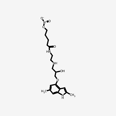 Cc1cc(OCC(O)CNCCNC(=O)CCCCO[N+](=O)[O-])c2cc(C)[nH]c2c1